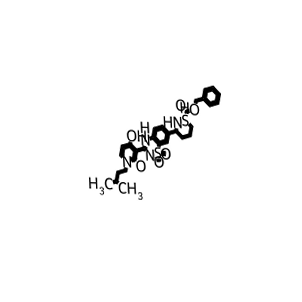 CC(C)CCn1ccc(O)c(C2=NS(=O)(=O)c3cc(C4CCC[SH](C(=O)OCc5ccccc5)N4)ccc3N2)c1=O